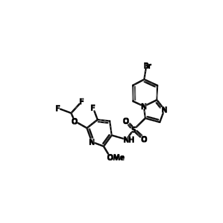 COc1nc(OC(F)F)c(F)cc1NS(=O)(=O)c1cnc2cc(Br)ccn12